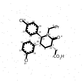 CC(C)CN1C(=O)[C@H](CC(=O)O)C[C@H](c2cccc(Cl)c2)[C@H]1c1ccc(Cl)cc1